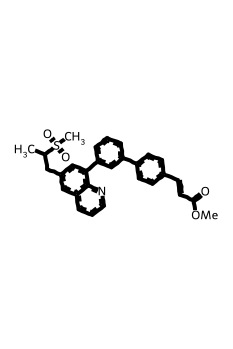 COC(=O)C=Cc1ccc(-c2cccc(-c3cc(CC(C)S(C)(=O)=O)cc4cccnc34)c2)cc1